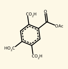 CC(=O)OC(=O)c1cc(C(=O)O)c(C(=O)O)cc1C(=O)O